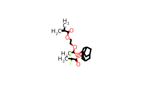 C=C(C)C(=O)OCCOC(C)OC12CC3CC(C1)C(OC(=O)C(C)(F)F)C(C3)C2